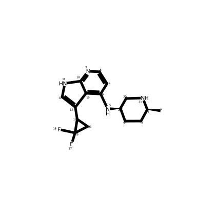 C[C@H]1CC[C@@H](Nc2ccnc3[nH]cc(C4CC4(F)F)c23)CN1